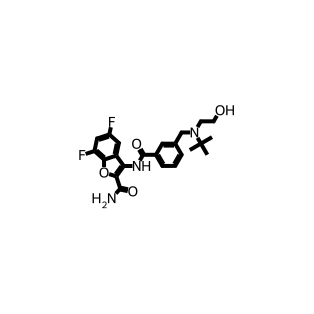 CC(C)(C)N(CCO)Cc1cccc(C(=O)Nc2c(C(N)=O)oc3c(F)cc(F)cc23)c1